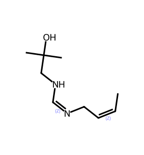 C/C=C\C/N=C\NCC(C)(C)O